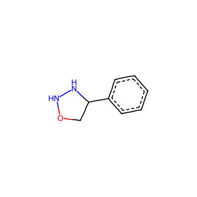 c1ccc(C2CONN2)cc1